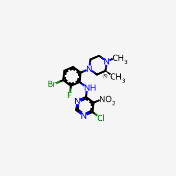 C[C@H]1CN(c2ccc(Br)c(F)c2Nc2ncnc(Cl)c2[N+](=O)[O-])CCN1C